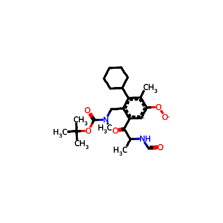 Cc1c(O[O])[c]c(C(=O)C(C)NC=O)c(CN(C)C(=O)OC(C)(C)C)c1C1CCCCC1